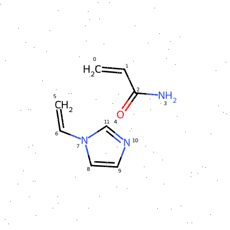 C=CC(N)=O.C=Cn1ccnc1